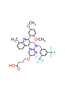 COc1ccc(OC)c(-c2nc3c(C)cccc3cc2CN(Cc2cc(C(F)(F)F)cc(C(F)(F)F)c2)c2ncc(OCCCC(=O)O)cn2)c1